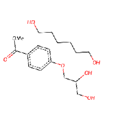 COC(=O)c1ccc(OCC(O)CO)cc1.OCCCCCCO